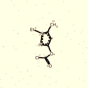 CCn1nc(OC(=O)Cl)cc1C